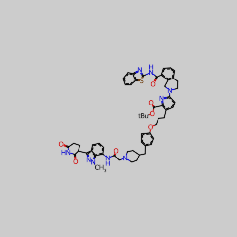 Cn1nc(C2CCC(=O)NC2=O)c2cccc(NC(=O)CN3CCC(Cc4ccc(OCCCc5ccc(N6CCc7cccc(C(=O)Nc8nc9ccccc9s8)c7C6)nc5C(=O)OC(C)(C)C)cc4)CC3)c21